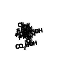 O=C(O)c1ccc(N(Cc2cc(O)cc(OCC3CC3)c2)C(=O)CN(Cc2ccc(Cl)cc2)S(=O)(=O)c2c(F)c(F)c(F)c(F)c2F)cc1O